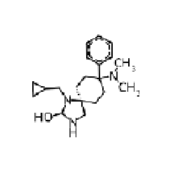 CN(C)[C@]1(c2ccccc2)CC[C@]2(CC1)CNC(O)N2CC1CC1